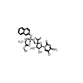 CC(C)OC(=O)[C@H](C)NP(=S)(OC[C@@]1(C(F)F)O[C@@H](n2cc(Cl)c(N)nc2=O)[C@H](O)[C@@H]1O)Oc1ccc2ccccc2c1